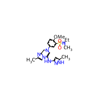 CCN(C)S(=O)(=O)c1cc(N2C=C(Nc3cc(C)[nH]n3)[N+]3C=C(C)N=C3C2)ccc1OC